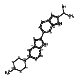 CC(S)c1nc2ccc(-c3nc4cc(N5CCN(C)CC5)ccc4[nH]3)cc2[nH]1